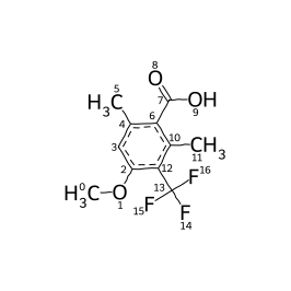 COc1cc(C)c(C(=O)O)c(C)c1C(F)(F)F